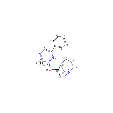 C.c1ccc(-c2cncc(O[C@@H]3CCN4CCCC3C4)n2)cc1